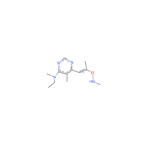 CCN(C)c1ncnc(/C=C(\C)ONC)c1C